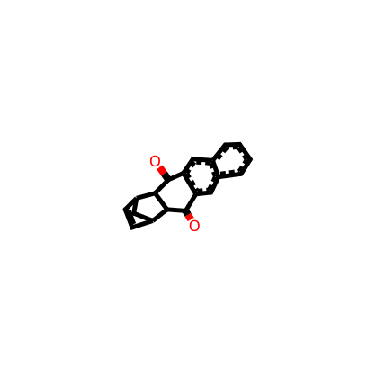 O=C1c2cc3ccccc3cc2C(=O)C2C3C=CC(C3)C12